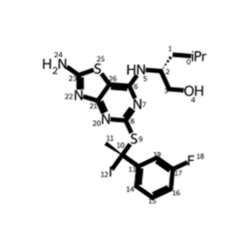 CC(C)C[C@H](CO)Nc1nc(S[C@@](C)(I)c2cccc(F)c2)nc2nc(N)sc12